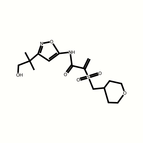 C=C(C(=O)Nc1cc(C(C)(C)CO)no1)S(=O)(=O)CC1CCOCC1